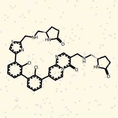 O=C1CC[C@H](CNCc2nc(-c3cccc(-c4cccc(-c5ccn6c(=O)c(CNC[C@@H]7CCC(=O)N7)cnc6c5)c4Cl)c3Cl)cs2)N1